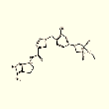 Cc1nc(N2C[C@@H]3[C@H](CF)[C@@H]3C2)ccc1Cn1cc(C(=O)N[C@@H]2CCc3c2n[nH]c3C)cn1